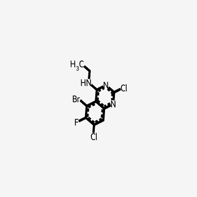 CCNc1nc(Cl)nc2cc(Cl)c(F)c(Br)c12